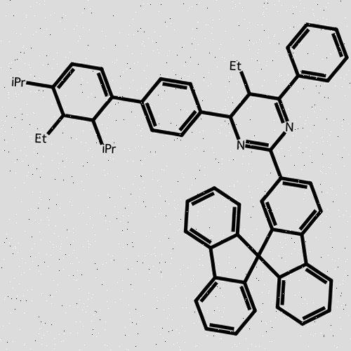 CCC1C(c2ccccc2)=NC(c2ccc3c(c2)C2(c4ccccc4-c4ccccc42)c2ccccc2-3)=NC1c1ccc(C2=CC=C(C(C)C)C(CC)C2C(C)C)cc1